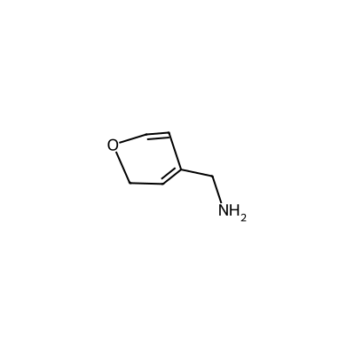 NCC1=CCOC=C1